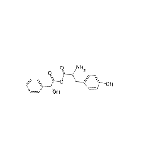 NC(Cc1ccc(O)cc1)C(=O)OC(=O)C(O)c1ccccc1